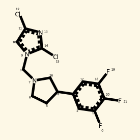 Fc1cc(C2CCN(Cn3cc(Cl)nc3Cl)C2)cc(F)c1F